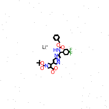 CC(C)(C)OC(=O)N1CC(C(=O)[O-])=C(c2cnn3cc(C(NC(=O)OCc4ccccc4)C4CCC(F)(F)CC4)nc3c2)C1.[Li+]